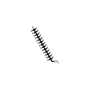 CCC(F)(F)C(F)(F)C(F)(F)C(F)(F)C(F)(F)C(F)(F)C(F)(F)C(F)(F)C(F)(F)C(F)(F)C(F)(F)C(F)(F)C(F)(F)F